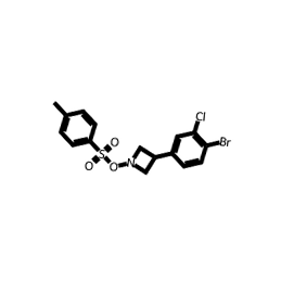 Cc1ccc(S(=O)(=O)ON2CC(c3ccc(Br)c(Cl)c3)C2)cc1